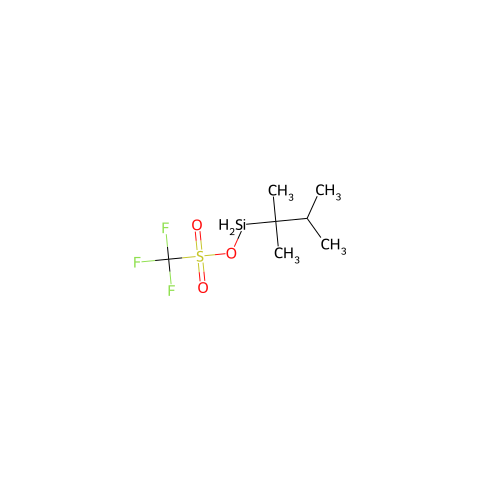 CC(C)C(C)(C)[SiH2]OS(=O)(=O)C(F)(F)F